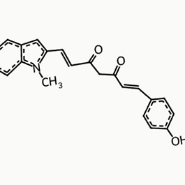 Cn1c(C=CC(=O)CC(=O)C=Cc2ccc(O)cc2)cc2ccccc21